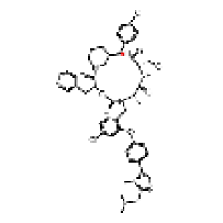 C[C@H]1C(=O)N[C@@H](CO)C(=O)N[C@@]2(Cc3ccc(Cl)cc3)CCCN(C2)C(=O)[C@H](Cc2cccnc2)CC(=O)N1Cc1ccc(Cl)cc1Oc1ccc(-c2cnc(CN(C)C)n2C)cc1